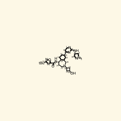 Cn1cc(Nc2nccc(-c3ccc4c(c3)CN(C3CC(O)C3)CC[C@@H]4NC(=O)c3nc(C(C)(C)C)no3)n2)cn1